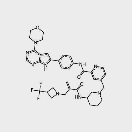 C=C(CN1CC(C(F)(F)F)C1)C(=O)N[C@@H]1CCCN(Cc2ccnc(C(=O)Nc3ccc(-c4cc5c(N6CCOCC6)ncnc5[nH]4)cc3)c2)C1